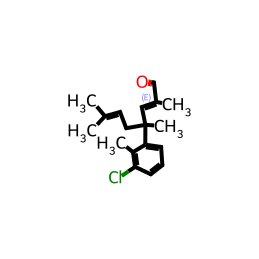 CC(C)=CCC(C)(/C=C(\C)C=O)c1cccc(Cl)c1C